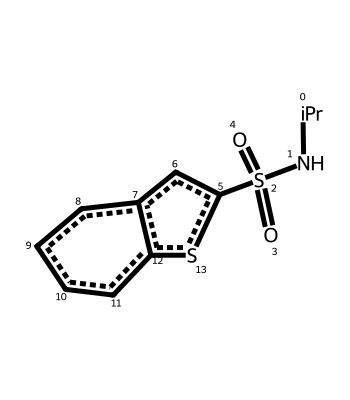 CC(C)NS(=O)(=O)c1cc2ccccc2s1